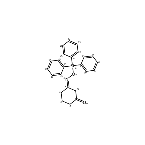 O=C1CCC/C(=N/O[Si](c2ccccc2)(c2ccccc2)c2ccccc2)C1